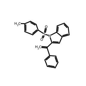 C=C(c1ccccc1)c1cc2ccccc2n1S(=O)(=O)c1ccc(C)cc1